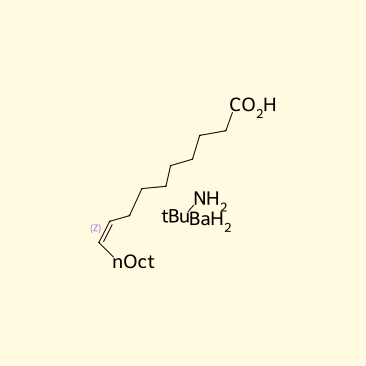 CC(C)(C)N.CCCCCCCC/C=C\CCCCCCCC(=O)O.[BaH2]